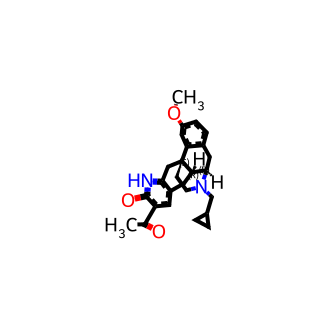 COc1ccc2c(c1)[C@]13CCN(CC4CC4)[C@H](C2)[C@@H]1Cc1cc(C(C)=O)c(=O)[nH]c1C3